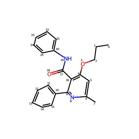 CCCOc1cc(C)nc(-c2ccccc2)c1C(=O)Nc1ccccc1